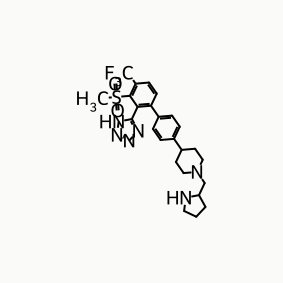 CS(=O)(=O)c1c(C(F)(F)F)ccc(-c2ccc(C3CCN(CC4CCCN4)CC3)cc2)c1-c1nnn[nH]1